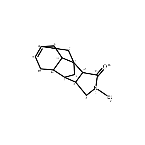 CCN1CC2C3CC4(CC5=CCC3C4C5)C2C1=O